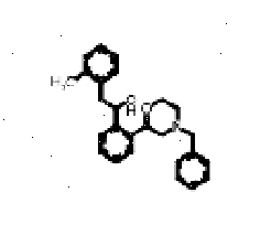 Cc1ccccc1CC(O)c1ccccc1C1CN(Cc2ccccc2)CCO1